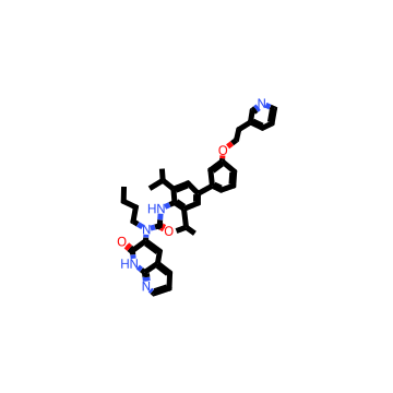 CCCCN(C(=O)Nc1c(C(C)C)cc(-c2cccc(OCCc3cccnc3)c2)cc1C(C)C)c1cc2cccnc2[nH]c1=O